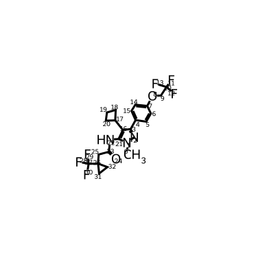 Cn1nc(-c2ccc(OCC(F)(F)F)cc2)c(C2CCC2)c1NC(=O)CC1(C(F)(F)F)CC1